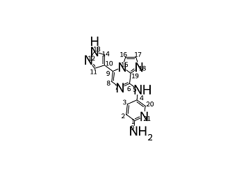 Nc1ccc(Nc2ncc(-c3cn[nH]c3)n3ccnc23)cn1